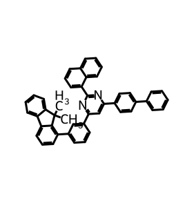 CC1(C)c2ccccc2-c2cccc(-c3cccc(-c4cc(-c5ccc(-c6ccccc6)cc5)nc(-c5cccc6ccccc56)n4)c3)c21